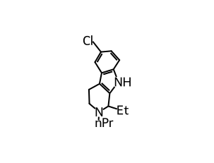 CCCN1CCc2c([nH]c3ccc(Cl)cc23)C1CC